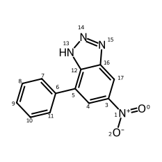 O=[N+]([O-])c1cc(-c2ccccc2)c2[nH]nnc2c1